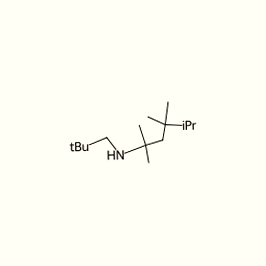 CC(C)C(C)(C)CC(C)(C)NCC(C)(C)C